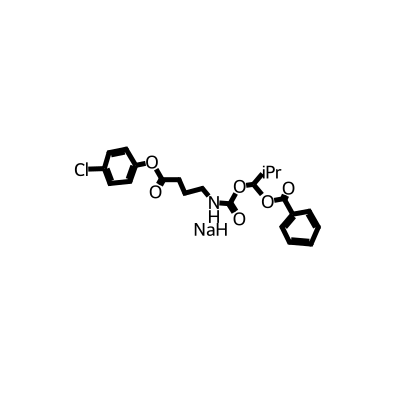 CC(C)C(OC(=O)NCCCC(=O)Oc1ccc(Cl)cc1)OC(=O)c1ccccc1.[NaH]